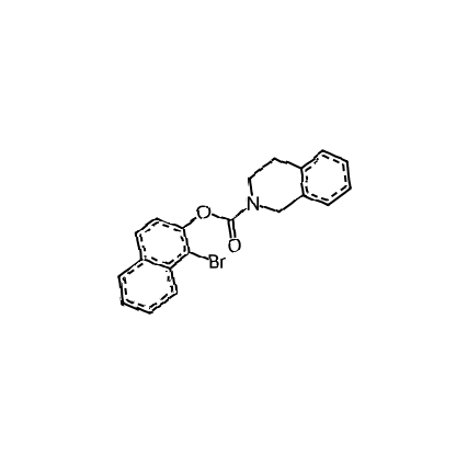 O=C(Oc1ccc2ccccc2c1Br)N1CCc2ccccc2C1